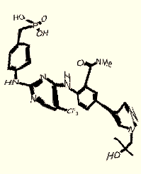 CNC(=O)c1cc(-c2cnn(CC(C)(C)O)c2)ccc1Nc1nc(Nc2ccc(CP(=O)(O)O)cc2)ncc1C(F)(F)F